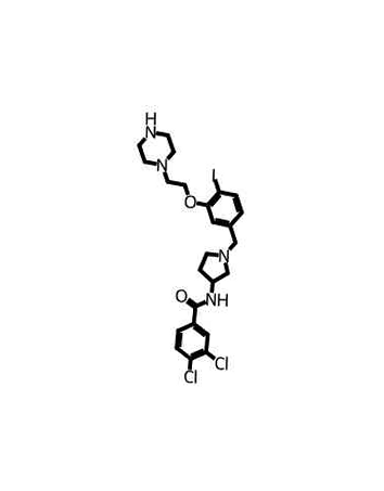 O=C(NC1CCN(Cc2ccc(I)c(OCCN3CCNCC3)c2)C1)c1ccc(Cl)c(Cl)c1